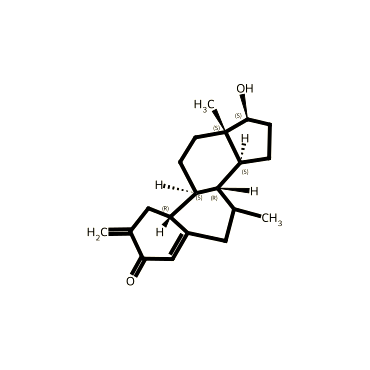 C=C1C[C@H]2C(=CC1=O)CC(C)[C@@H]1[C@@H]2CC[C@]2(C)[C@@H](O)CC[C@@H]12